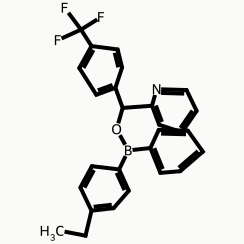 CCc1ccc(B(OC(c2ccc(C(F)(F)F)cc2)c2ccccn2)c2ccccc2)cc1